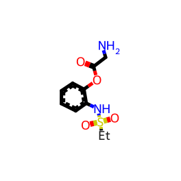 CCS(=O)(=O)Nc1ccccc1OC(=O)CN